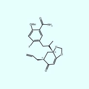 C=CC[C@H]1C[C@]2(C(C)Cc3cc(C(N)=O)c(OC)cc3F)OCOC2=CC1=O